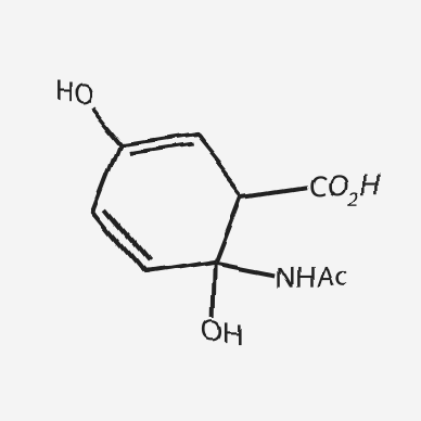 CC(=O)NC1(O)C=CC(O)=CC1C(=O)O